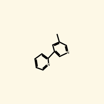 Cc1cncc(-c2ccccn2)c1